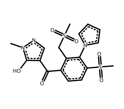 Cn1ncc(C(=O)c2ccc(S(C)(=O)=O)c(-n3cccc3)c2CS(C)(=O)=O)c1O